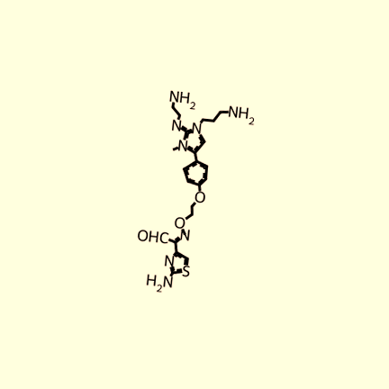 Cn1c(-c2ccc(OCCO/N=C(\C=O)c3csc(N)n3)cc2)cn(CCCN)/c1=N\CCN